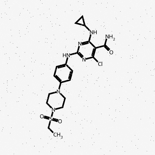 CCS(=O)(=O)N1CCN(c2ccc(Nc3nc(Cl)c(C(N)=O)c(NC4CC4)n3)cc2)CC1